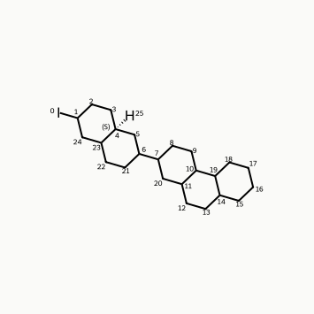 IC1CC[C@H]2CC(C3CCC4C(CCC5CCCCC54)C3)CCC2C1